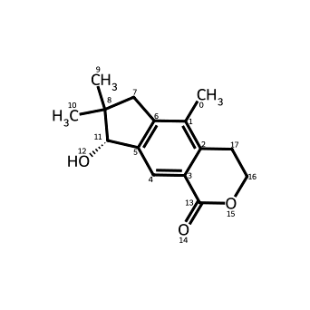 Cc1c2c(cc3c1CC(C)(C)[C@H]3O)C(=O)OCC2